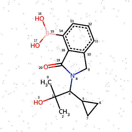 CC(C)(O)C(C1CC1)N1Cc2cccc(B(O)O)c2C1=O